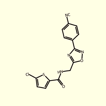 [C-]#[N+]c1ccc(-c2noc(CNC(=O)c3ccc(Cl)s3)n2)cc1